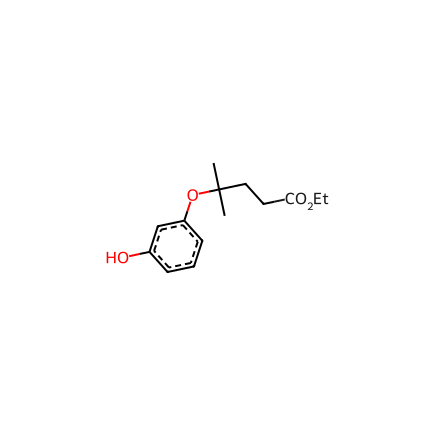 CCOC(=O)CCC(C)(C)Oc1cccc(O)c1